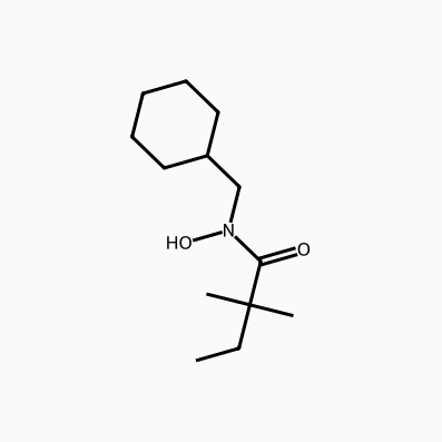 CCC(C)(C)C(=O)N(O)CC1CCCCC1